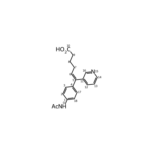 CC(=O)Nc1ccc(/C(=C/CCCC(=O)O)c2cccnc2)cc1